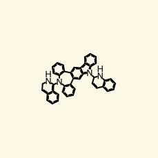 C1=CC(n2c3ccccc3c3cc4c(cc32)-c2ccccc2N(C2=c3ccccc3=CCN2)c2ccccc2-4)Nc2ccccc21